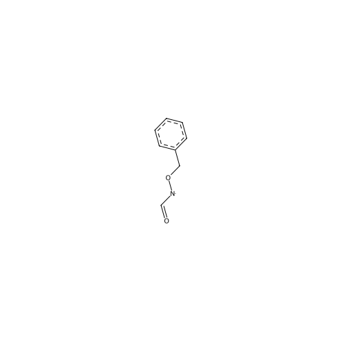 O=C[N]OCc1ccccc1